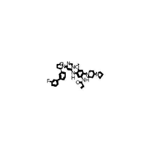 C=CC(=O)Nc1cc(Nc2cc(N3OCC[C@@H]3c3cccc(-c4cccc(F)c4)c3)ncn2)c(OC)cc1N1CCC(N2CCC2)CC1